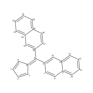 [C]1=CC=CC1=C(c1ccc2ccccc2c1)c1ccc2ccccc2c1